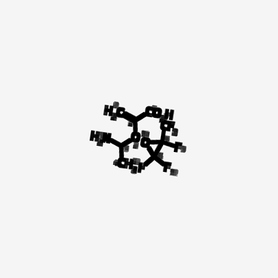 C=C(OC(C)N)C(=O)O.FC(F)(F)C1(F)OC1(F)F